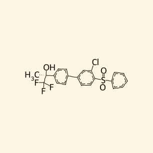 C[C@](O)(c1ccc(-c2ccc(S(=O)(=O)c3ccccc3)c(Cl)c2)cc1)C(F)(F)F